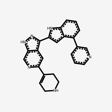 C1=C(c2cc3c(-c4cc5c(-c6cccnc6)cccc5[nH]4)n[nH]c3cn2)CCNC1